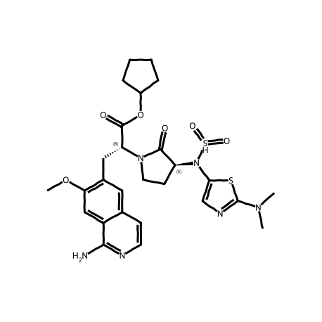 COc1cc2c(N)nccc2cc1C[C@H](C(=O)OC1CCCC1)N1CC[C@H](N(c2cnc(N(C)C)s2)[SH](=O)=O)C1=O